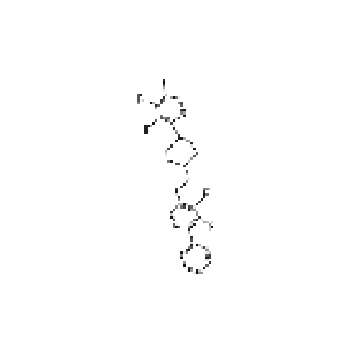 Cc1ccc(C2CCC(CCc3ccc(-c4ccccc4)c(F)c3F)CC2)c(F)c1F